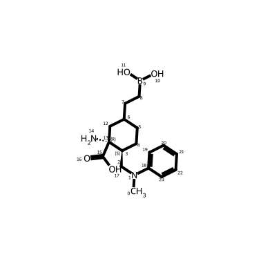 CN(C[C@@H]1CCC(CCB(O)O)C[C@]1(N)C(=O)O)c1ccccc1